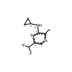 Cc1ncc(C(F)F)nc1NC1CC1